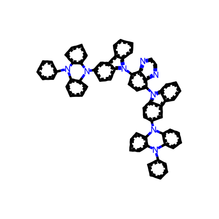 c1ccc(N2c3ccccc3N(c3ccc4c(c3)c3ccccc3n4-c3ccc(-n4c5ccccc5c5cc(N6c7ccccc7N(c7ccccc7)c7ccccc76)ccc54)c4nccnc34)c3ccccc32)cc1